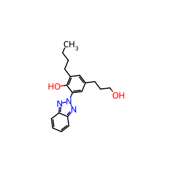 CCCCc1cc(CCCO)cc(-n2nc3ccccc3n2)c1O